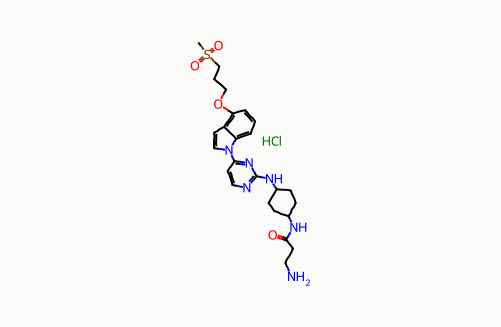 CS(=O)(=O)CCCOc1cccc2c1ccn2-c1ccnc(NC2CCC(NC(=O)CCN)CC2)n1.Cl